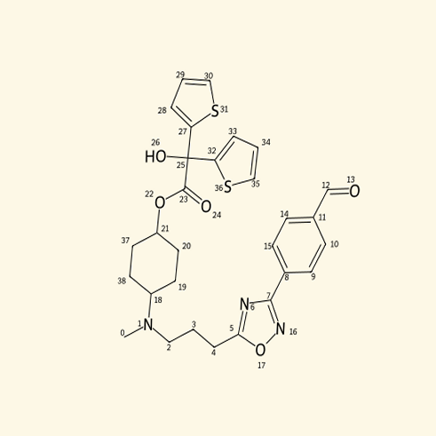 CN(CCCc1nc(-c2ccc(C=O)cc2)no1)C1CCC(OC(=O)C(O)(c2cccs2)c2cccs2)CC1